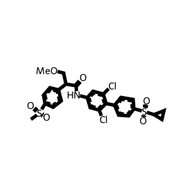 COCC(C(=O)Nc1cc(Cl)c(-c2ccc(S(=O)(=O)C3CC3)cc2)c(Cl)c1)c1ccc(S(C)(=O)=O)cc1